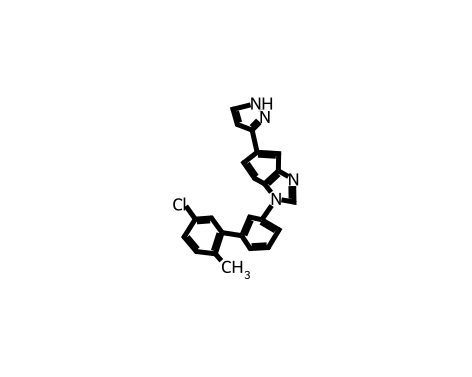 Cc1ccc(Cl)cc1-c1cccc(-n2cnc3cc(-c4cc[nH]n4)ccc32)c1